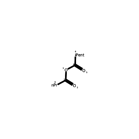 CCCC(=O)OC(=O)C(C)CCC